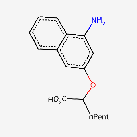 CCCCCC(Oc1cc(N)c2ccccc2c1)C(=O)O